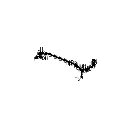 Cc1cc(F)cc(C)c1Oc1ccc(C(C)(C)O)cc1-c1cn(C)c(=O)c2[nH]c(C(=O)Nc3ccc(OCCOCCOCCOCCOCCOCCOCCOCCOCCNC(=O)CCNC(=O)c4nc(NC(=O)CCNC(=O)c5cc(NC(=O)c6nc(NC(=O)CCNC(=O)c7cc(NC(=O)c8nccn8C)cn7C)cn6C)cn5CCCCCCN)cn4C)cc3)cc12